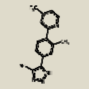 Cc1cc(-c2[nH]nnc2C#N)ccc1-c1nccc(C(F)(F)F)n1